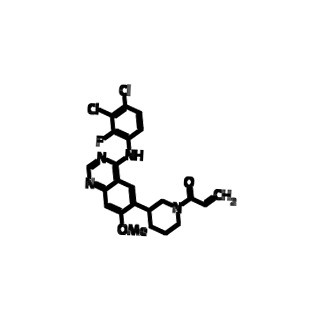 C=CC(=O)N1CCCC(c2cc3c(Nc4ccc(Cl)c(Cl)c4F)ncnc3cc2OC)C1